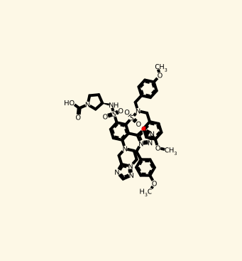 COc1ccc(CN(Cc2ccc(OC)cc2)S(=O)(=O)c2c(S(=O)(=O)N[C@@H]3CCN(C(=O)O)C3)ccc(N3CCn4ncnc4C3)c2-c2nnnn2Cc2ccc(OC)cc2)cc1